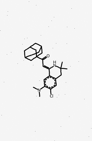 CN(C)c1cc2c(cc1Cl)CC(C)(C)NC2=CC(=O)C12CC3CC(CC(C3)C1)C2